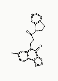 O=C(CCn1c(=O)c2ccnn2c2ccc(F)cc21)N1CCc2ccncc21